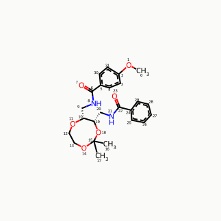 COc1ccc(C(=O)NC[C@H]2OCCOC(C)(C)O[C@H]2CNC(=O)c2ccccc2)cc1